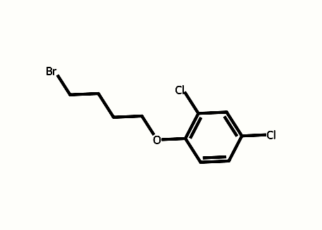 Clc1ccc(OCCCCBr)c(Cl)c1